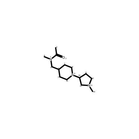 CC(=O)N(C)CC1CCN(C2CCN(C)C2)CC1